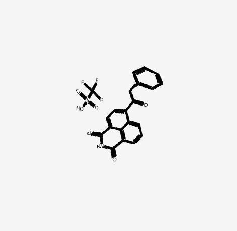 O=C(Cc1ccccc1)c1ccc2c3c(cccc13)C(=O)NC2=O.O=S(=O)(O)C(F)(F)F